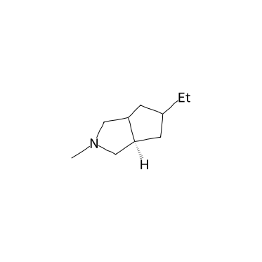 CCC1CC2CN(C)C[C@@H]2C1